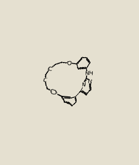 c1cc2cc(c1)OCCCCCCOc1cccc(c1)-c1ccnc(n1)N2